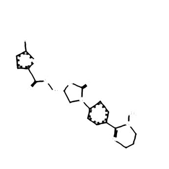 CN1CCCN=C1c1ccc(N2C[C@H](CNC(=O)c3ccc(Cl)s3)OC2=O)cc1